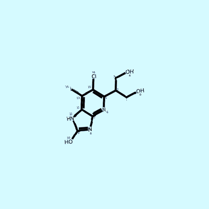 OCC(CO)c1nc2nc(O)[nH]c2c(I)c1Cl